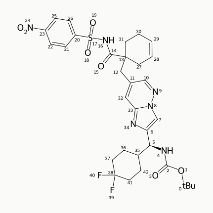 CC(C)(C)OC(=O)N[C@H](c1cn2ncc(CC3(C(=O)NS(=O)(=O)c4ccc([N+](=O)[O-])cc4)CC=CCC3)cc2n1)C1CCC(F)(F)CC1